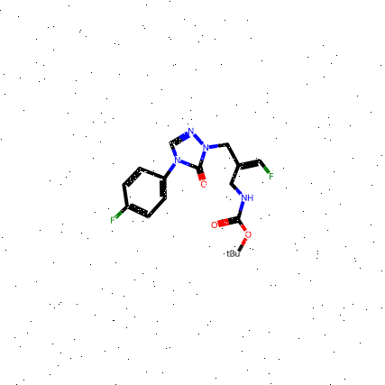 CC(C)(C)OC(=O)NC/C(=C\F)Cn1ncn(-c2ccc(F)cc2)c1=O